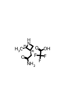 C[C@H]1NC[C@H]1CC(N)=O.O=C(O)C(F)(F)F